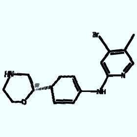 Cc1cnc(NC2=CCC([C@H]3CNCCO3)C=C2)cc1Br